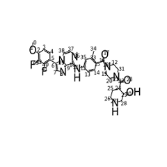 COc1ccc(-c2cnc3c(Nc4ccc(C(=O)N5CCN(C(=O)[C@@H]6CCNC[C@H]6O)CC5)c(C)c4)nccn23)c(F)c1F